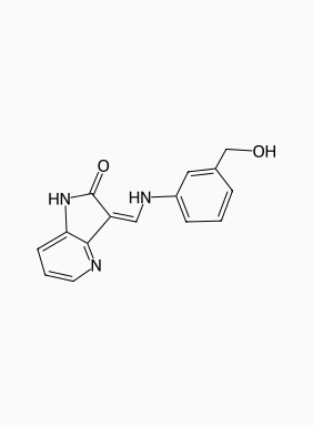 O=C1Nc2cccnc2C1=CNc1cccc(CO)c1